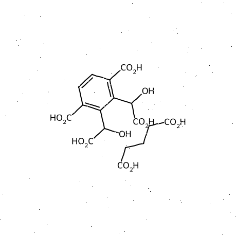 O=C(O)CCCC(=O)O.O=C(O)c1ccc(C(=O)O)c(C(O)C(=O)O)c1C(O)C(=O)O